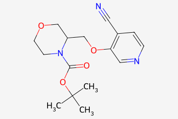 CC(C)(C)OC(=O)N1CCOCC1COc1cnccc1C#N